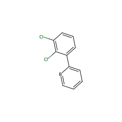 Clc1cccc(-c2bcccc2)c1Cl